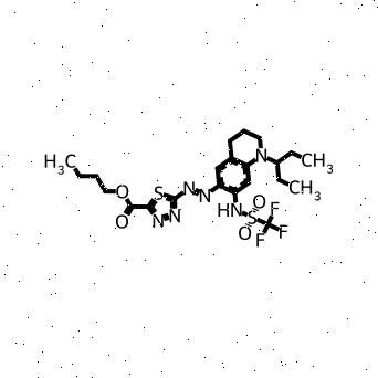 CCCCOC(=O)c1nnc(N=Nc2cc3c(cc2NS(=O)(=O)C(F)(F)F)N(C(CC)CC)CCC3)s1